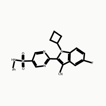 CC(C)NS(=O)(=O)c1cnc(-c2c(C#N)c3cc(F)ccc3n2C2CCC2)nc1